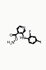 NOC(=O)c1ccncc1Nc1ccc(I)cc1F